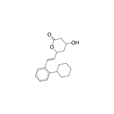 O=C1CC(O)CC(C=Cc2ccccc2C2CCCCC2)O1